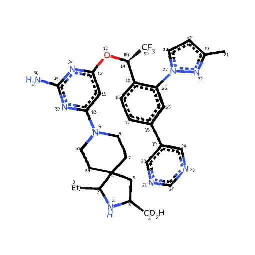 CCC1NC(C(=O)O)CC12CCN(c1cc(O[C@H](c3ccc(-c4cncnc4)cc3-n3ccc(C)n3)C(F)(F)F)nc(N)n1)CC2